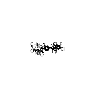 CCOC(=O)C1=NOC(N(C=O)C(=O)c2ccc(C3=NO[C@@](C4C=C(Cl)C(F)=C4Cl)(C(F)(F)F)C3)cc2C)C1